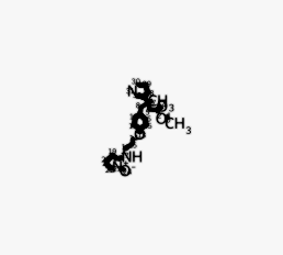 CCOC(=O)CC(C)(Cc1ccc(OCCCNc2cccc[n+]2[O-])cc1)c1cccnc1